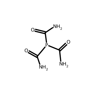 NC(=O)P(C(N)=O)C(N)=O